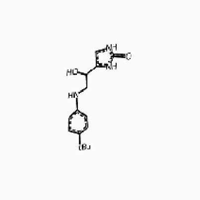 CC(C)(C)c1ccc(NCC(O)c2c[nH]c(=O)[nH]2)cc1